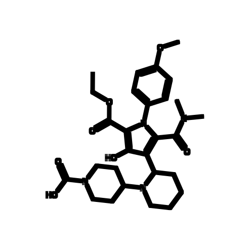 CCOC(=O)c1c(O)c(C2CCCCN2C2CCN(C(=O)O)CC2)c(C(=O)N(C)C)n1-c1ccc(OC)cc1